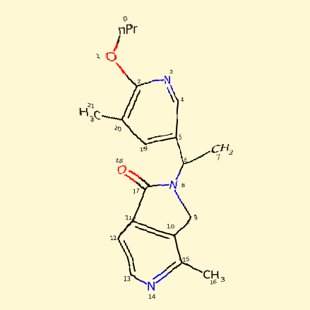 CCCOc1ncc(C(C)N2Cc3c(ccnc3C)C2=O)cc1C